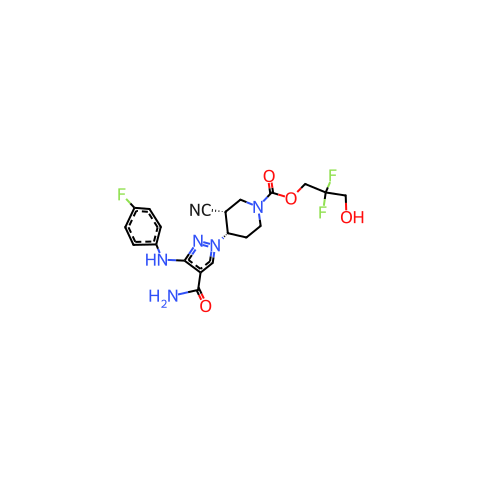 N#C[C@@H]1CN(C(=O)OCC(F)(F)CO)CC[C@@H]1n1cc(C(N)=O)c(Nc2ccc(F)cc2)n1